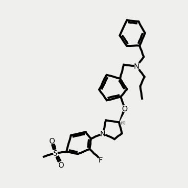 CCCN(Cc1ccccc1)Cc1cccc(O[C@H]2CCN(c3ccc(S(C)(=O)=O)cc3F)C2)c1